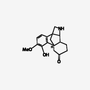 COc1ccc2c(c1O)[C@]13CC(=O)CCC1C1NCC21C3